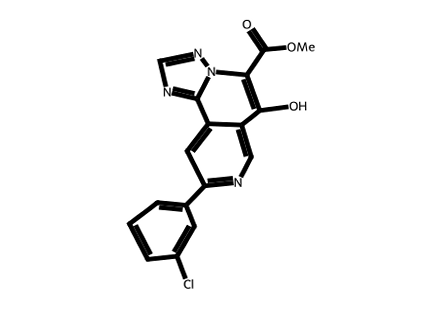 COC(=O)c1c(O)c2cnc(-c3cccc(Cl)c3)cc2c2ncnn12